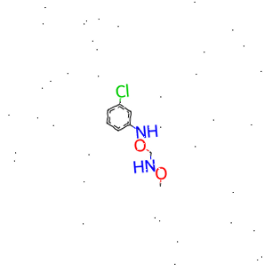 CONCONc1cccc(Cl)c1